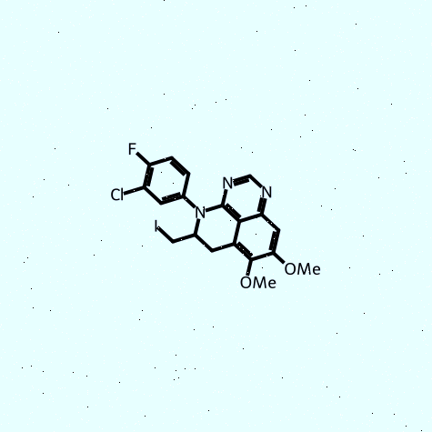 COc1cc2ncnc3c2c(c1OC)CC(CI)N3c1ccc(F)c(Cl)c1